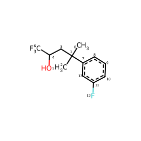 CC(C)(CC(O)C(F)(F)F)c1cccc(F)c1